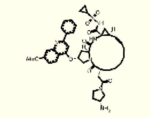 COc1ccc2c(O[C@@H]3C[C@H]4C(=O)N[C@]5(C(=O)NS(=O)(=O)C6CC6)C[C@H]5/C=C\CCCCC[C@H](CC(=O)N5CC[C@@H](N)C5)C(=O)N4C3)cc(-c3ccccc3)nc2c1